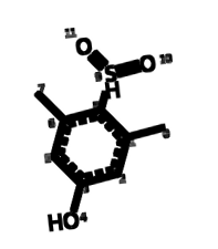 Cc1cc(O)cc(C)c1[SH](=O)=O